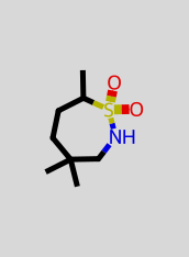 CC1CCC(C)(C)CNS1(=O)=O